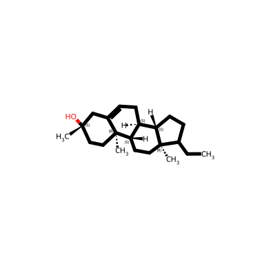 CCC1CC[C@H]2[C@@H]3CC=C4C[C@@](C)(O)CC[C@]4(C)[C@H]3CC[C@]12C